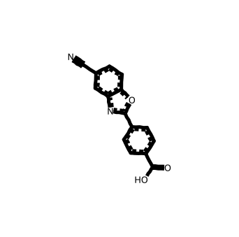 N#Cc1ccc2oc(-c3ccc(C(=O)O)cc3)nc2c1